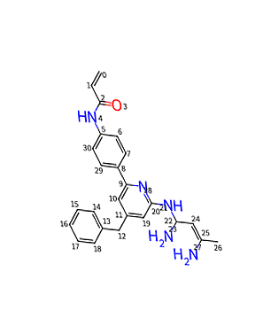 C=CC(=O)Nc1ccc(-c2cc(Cc3ccccc3)cc(NC(N)/C=C(/C)N)n2)cc1